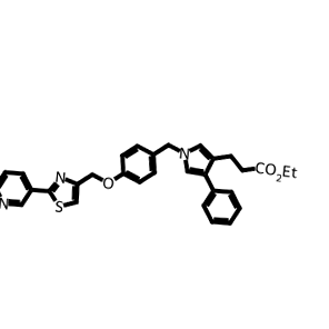 CCOC(=O)CCc1cn(Cc2ccc(OCc3csc(-c4cccnc4)n3)cc2)cc1-c1ccccc1